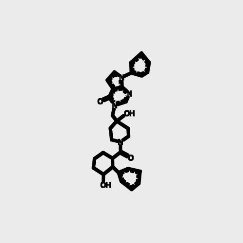 O=C(C1CCCC(O)C1c1ccccc1)N1CCC(O)(Cn2cnc3c(ccn3-c3ccccc3)c2=O)CC1